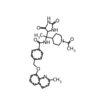 CC(=O)N1CCC(C(C)(NC(=O)c2ccc(COc3cccc4ccc(C)nc34)cc2)C2NC(=O)NC2=O)CC1